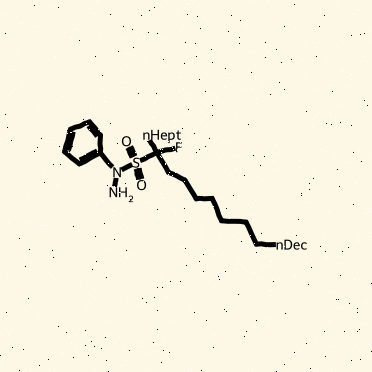 CCCCCCCCCCCCCCCCCC(F)(CCCCCCC)S(=O)(=O)N(N)c1ccccc1